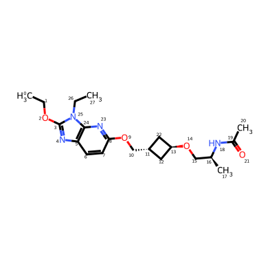 CCOc1nc2ccc(OC[C@H]3C[C@H](OC[C@H](C)NC(C)=O)C3)nc2n1CC